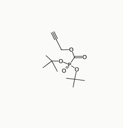 C#CCOC(=O)P(=O)(OC(C)(C)C)OC(C)(C)C